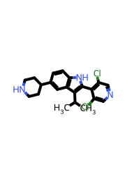 CC(C)c1c(-c2c(Cl)cncc2Cl)[nH]c2ccc(C3CCNCC3)cc12